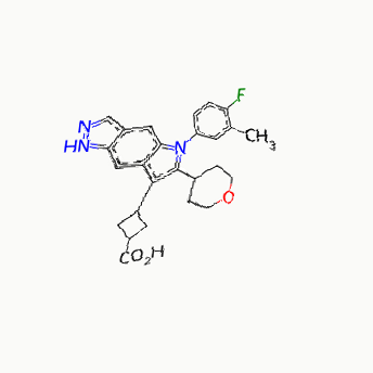 Cc1cc(-n2c(C3CCOCC3)c(C3CC(C(=O)O)C3)c3cc4[nH]ncc4cc32)ccc1F